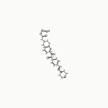 CCCCCCCOC(=O)CC1CCc2cc(NC(=O)c3ccc(/C=N/N4CCOCC4)cc3)ccc2C1